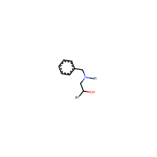 CC(C)C(O)CN(Cc1ccccc1)C(C)C